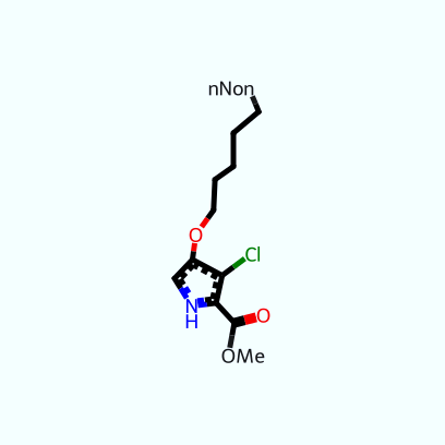 CCCCCCCCCCCCCCOc1c[nH]c(C(=O)OC)c1Cl